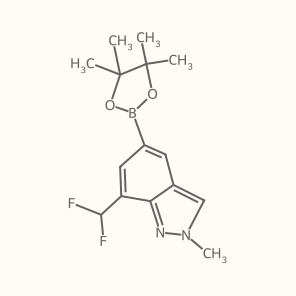 Cn1cc2cc(B3OC(C)(C)C(C)(C)O3)cc(C(F)F)c2n1